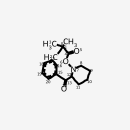 CC(C)(C)C(=O)ON1CCCCC1C(=O)c1ccccc1